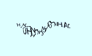 CC(=O)NCc1ccc(-c2csc(N=CNCC(N)O)n2)o1